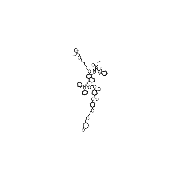 CCCC(=O)N(/N=C/c1c(OCCCCCCOCC2(CC)COC2)ccc2c(/C=N/N(c3ccccc3)c3ccccc3)c(C(=O)Oc3ccc(C(=O)Oc4ccc(OCCCOCC5CCC6OC6C5)cc4)cc3OC)ccc12)c1nc2ccccc2s1